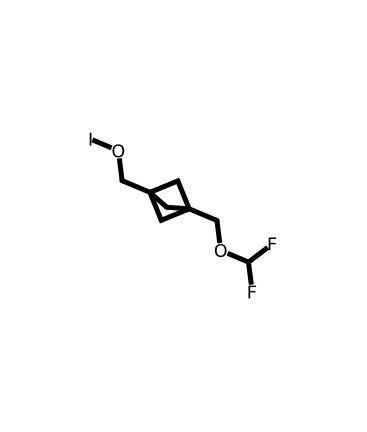 FC(F)OCC12CC(COI)(C1)C2